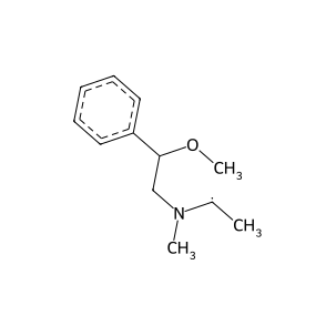 C[CH]N(C)CC(OC)c1ccccc1